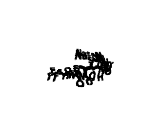 O=C(CSC(F)(F)F)NC1C(=O)N2C(C(=O)[O-])=C(C(CCNS(=O)(=O)[O-])Sc3nnn[nH]3)CS[C@@H]12.[Na+].[Na+]